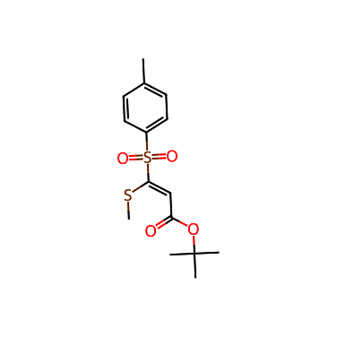 CSC(=CC(=O)OC(C)(C)C)S(=O)(=O)c1ccc(C)cc1